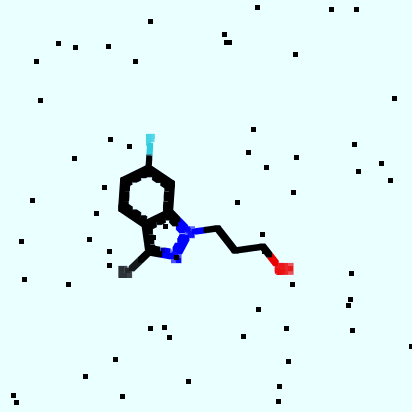 CCc1nn(CCCO)c2cc(F)ccc12